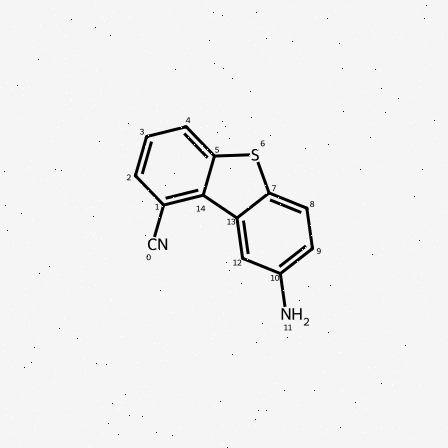 N#Cc1cccc2sc3ccc(N)cc3c12